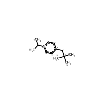 CC(C)[n+]1ccc(CC(C)(C)C)cc1